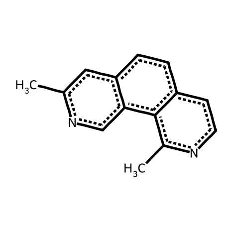 Cc1cc2ccc3ccnc(C)c3c2cn1